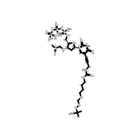 CCCC(C)(C)SSCOCCCCOC(=O)NCC#Cc1cn([C@H]2C[C@H](OCS(C)=S)[C@@H](COP(=O)(O)OP(=O)(O)OP(=O)(O)O)O2)c(=O)[nH]c1=O